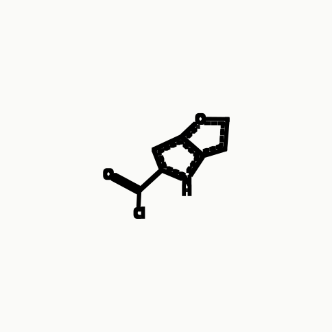 O=C(Cl)c1cc2occc2[nH]1